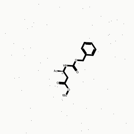 CC(=O)[C@H](CC(=O)OC(C)(C)C)NC(=O)OCc1ccccc1